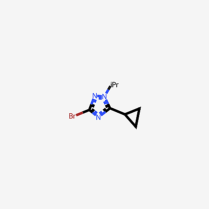 CC(C)n1nc(Br)nc1C1CC1